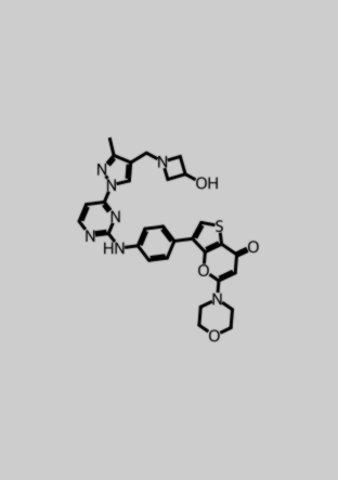 Cc1nn(-c2ccnc(Nc3ccc(-c4csc5c(=O)cc(N6CCOCC6)oc45)cc3)n2)cc1CN1CC(O)C1